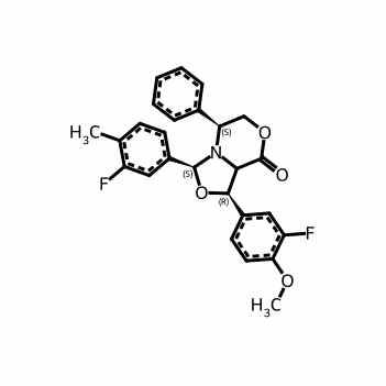 COc1ccc([C@H]2O[C@@H](c3ccc(C)c(F)c3)N3C2C(=O)OC[C@@H]3c2ccccc2)cc1F